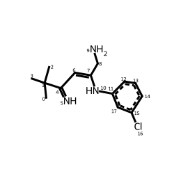 CC(C)(C)C(=N)/C=C(/CN)Nc1cccc(Cl)c1